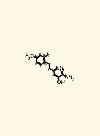 N=C(/C=C(/O)C(N)=O)CCc1ccc(C(F)(F)F)cc1F